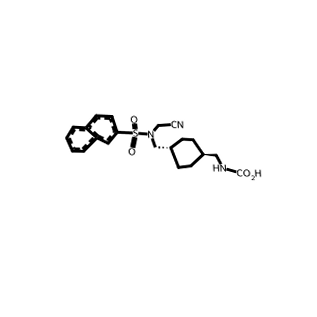 N#CCN(C[C@H]1CC[C@H](CNC(=O)O)CC1)S(=O)(=O)c1ccc2ccccc2c1